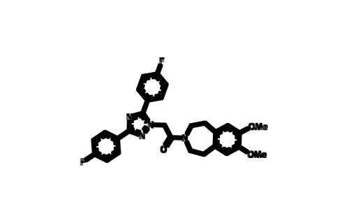 COc1cc2c(cc1OC)CCN(C(=O)Cn1nc(-c3ccc(F)cc3)nc1-c1ccc(F)cc1)CC2